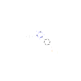 SOCc1ccc(-c2nc(C(Cl)(Cl)Cl)nc(C(Cl)(Cl)Cl)n2)cc1